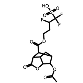 CC(=O)OC1C2CC3C1OC(=O)C3C2C(=O)OCCC(F)C(F)(F)S(=O)(=O)O